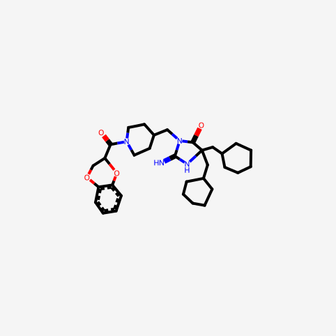 N=C1NC(CC2CCCCC2)(CC2CCCCC2)C(=O)N1CC1CCN(C(=O)C2COc3ccccc3O2)CC1